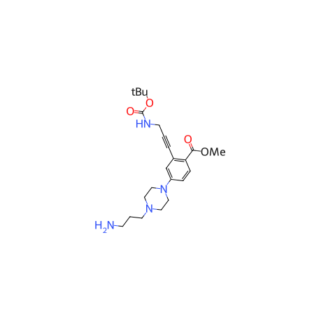 COC(=O)c1ccc(N2CCN(CCCN)CC2)cc1C#CCNC(=O)OC(C)(C)C